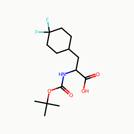 CC(C)(C)OC(=O)NC(CC1CCC(F)(F)CC1)C(=O)O